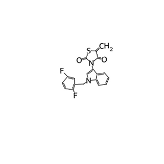 C=C1SC(=O)N(c2cn(Cc3cc(F)ccc3F)c3ccccc23)C1=O